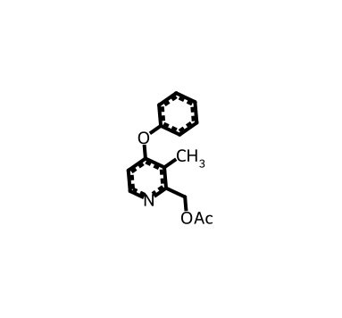 CC(=O)OCc1nccc(Oc2ccccc2)c1C